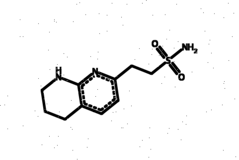 NS(=O)(=O)CCc1ccc2c(n1)NCCC2